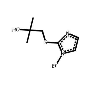 CCn1ccnc1SCC(C)(C)O